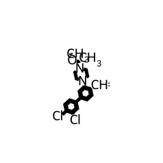 [CH]c1ccc(-c2ccc(Cl)c(Cl)c2)cc1N1CCN(C(C)OC)CC1